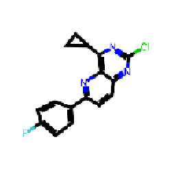 Fc1ccc(-c2ccc3nc(Cl)nc(C4CC4)c3n2)cc1